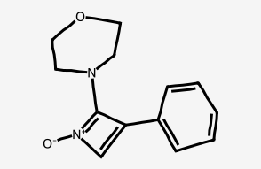 [O-][N+]1=C(N2CCOCC2)C(c2ccccc2)=C1